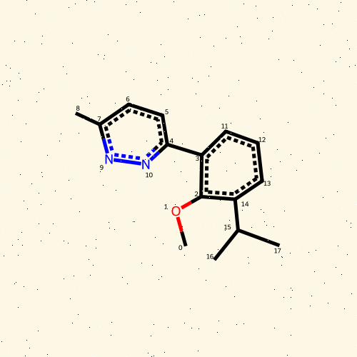 COc1c(-c2ccc(C)nn2)cccc1C(C)C